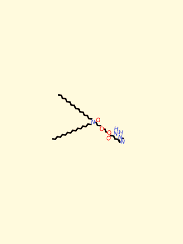 CCCCCCCCCCCCCCCCN(CCCCCCCCCCCCCCCC)C(=O)CCOCCOC(=O)C(N)Cc1cnc[nH]1